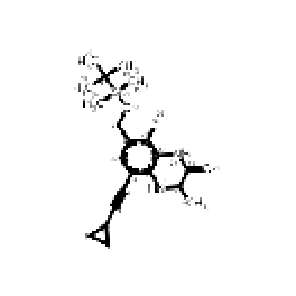 CC1Nc2c(C#CC3CC3)cc(CO[Si](C)(C)C(C)(C)C)c(F)c2NC1=O